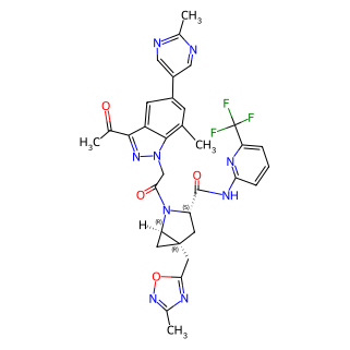 CC(=O)c1nn(CC(=O)N2[C@H](C(=O)Nc3cccc(C(F)(F)F)n3)C[C@@]3(Cc4nc(C)no4)C[C@@H]23)c2c(C)cc(-c3cnc(C)nc3)cc12